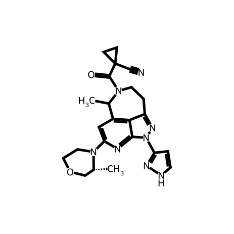 CC1c2cc(N3CCOC[C@H]3C)nc3c2c(nn3-c2cc[nH]n2)CCN1C(=O)C1(C#N)CC1